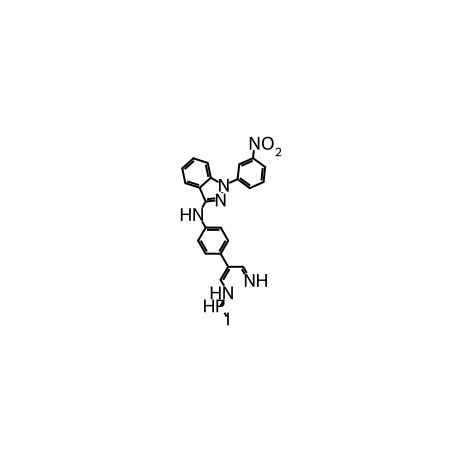 N=C/C(=C\NPI)c1ccc(Nc2nn(-c3cccc([N+](=O)[O-])c3)c3ccccc23)cc1